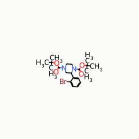 CC(C)(C)OC(=O)N1CCN(C(=O)OC(C)(C)C)C(c2ccccc2Br)C1